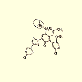 CCOc1ccc(Cl)cc1-n1c(C=C(C)C)c(C(O)N2CC3CCC(C2)N3)cc(-c2nc(-c3ccc(Cl)cc3)cs2)c1=O